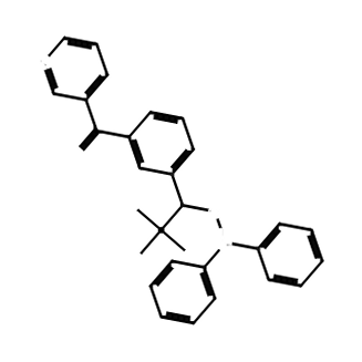 CC(C)(C)C(O[SiH](c1ccccc1)c1ccccc1)c1cccc(C(=O)c2cccnc2)c1